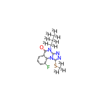 [2H]C([2H])([2H])Sc1nnc2n(C([2H])([2H])C([2H])([2H])C([2H])([2H])[2H])c(=O)c3cccc(F)c3n12